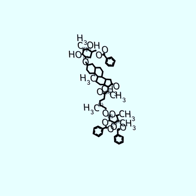 CC1O[C@@H](OC[C@@H](C)CCC(=O)[C@@H](C)C2C(=O)CC3C4CCC5CC(O[C@@H]6CC(COC(=O)c7ccccc7)[C@@H](O)[C@H](C)C6O)CCC5(C)C4CCC32C)C(OC(=O)c2ccccc2)[C@@H](OC(=O)c2ccccc2)[C@@H]1C